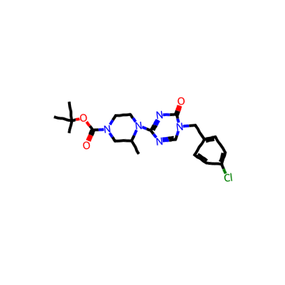 CC1CN(C(=O)OC(C)(C)C)CCN1c1ncn(Cc2ccc(Cl)cc2)c(=O)n1